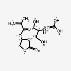 C=C(C)C(=O)OC1COC(=O)O1.O=C(O)O.OCC(O)CO